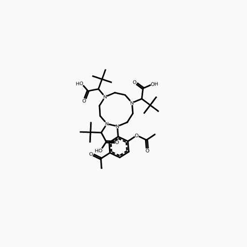 CC(=O)Oc1ccc(C(C)=O)cc1N1CCN(C(C(=O)O)C(C)(C)C)CCN(C(C(=O)O)C(C)(C)C)CCN1C(C(=O)O)C(C)(C)C